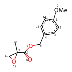 COc1ccc(COC(=O)C2(C)CO2)cc1